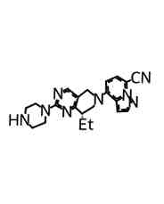 CC[C@H]1CN(c2ccc(C#N)n3nccc23)Cc2cnc(N3CCNCC3)nc21